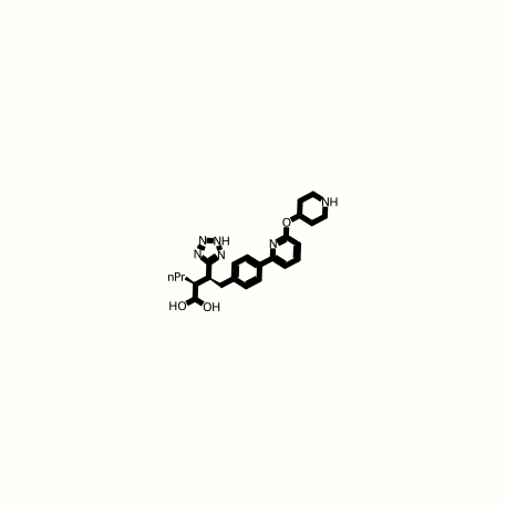 CCC[C@H](C(O)O)[C@H](Cc1ccc(-c2cccc(OC3CCNCC3)n2)cc1)c1nn[nH]n1